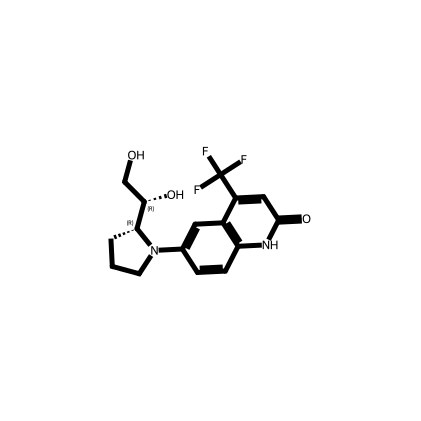 O=c1cc(C(F)(F)F)c2cc(N3CCC[C@@H]3[C@@H](O)CO)ccc2[nH]1